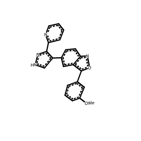 COc1cccc(-c2onc3ccc(-c4c[nH]nc4-c4ccccn4)cc23)c1